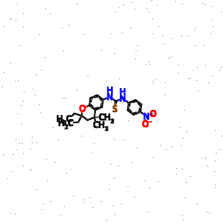 CCC1(CC)CC(C)(C)c2cc(NC(=S)Nc3ccc([N+](=O)[O-])cc3)ccc2O1